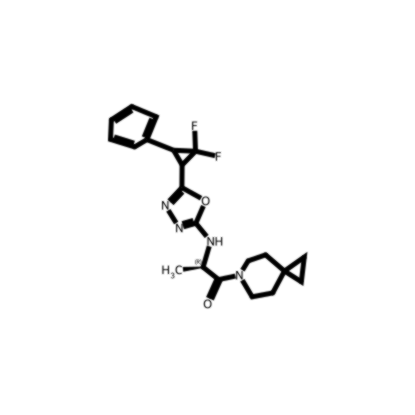 C[C@@H](Nc1nnc(C2C(c3ccccc3)C2(F)F)o1)C(=O)N1CCC2(CC1)CC2